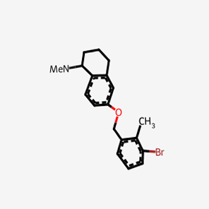 CNC1CCCc2cc(OCc3cccc(Br)c3C)ccc21